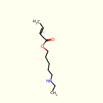 C/C=C/C(=O)OCCCCCNCC